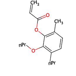 C=CC(=O)Oc1c(C)ccc(CCC)c1OCCC